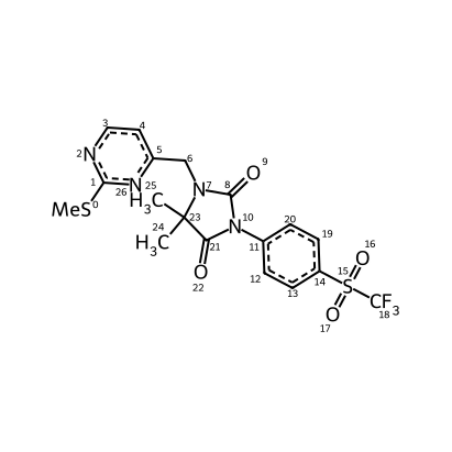 CSc1nccc(CN2C(=O)N(c3ccc(S(=O)(=O)C(F)(F)F)cc3)C(=O)C2(C)C)n1